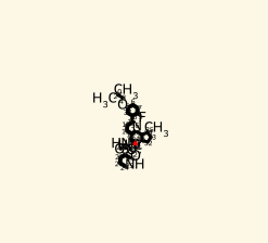 CC(C)COc1ccc(F)c(-c2ccc(C(=O)NS(=O)(=O)c3ccc[nH]c3=O)c(C3[C@H](C)CC[C@H]3C)n2)c1